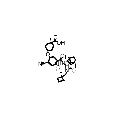 COc1cc(C#N)c(O[C@H]2CC[C@@](C)(C(=O)O)CC2)cc1C(=O)N[C@@H]1[C@H]2CC[C@H](C2)[C@@H]1C(=O)NCC1(F)CCC1